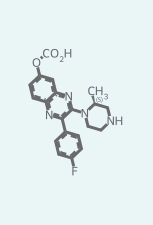 C[C@H]1CNCCN1c1nc2cc(OC(=O)O)ccc2nc1-c1ccc(F)cc1